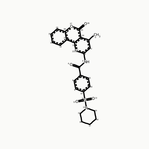 Cc1cc(NC(=O)c2ccc(S(=O)(=O)N3CCCCC3)cc2)nc2c1c(=O)oc1ccccc12